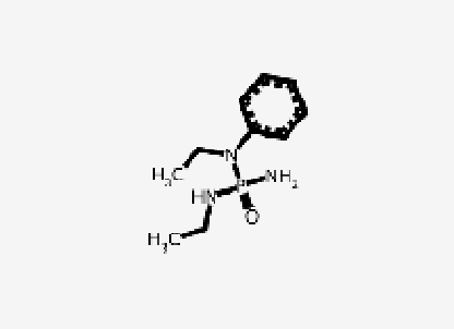 CCNP(N)(=O)N(CC)c1ccccc1